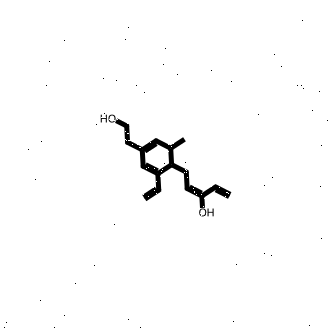 C=CC1=CC(CCO)=CC(C)C1C/C=C(/O)C=C